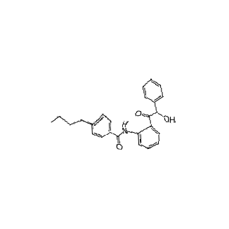 CCCCc1ccc(C(=O)Nc2ccccc2C(=O)C(O)c2ccccc2)cc1